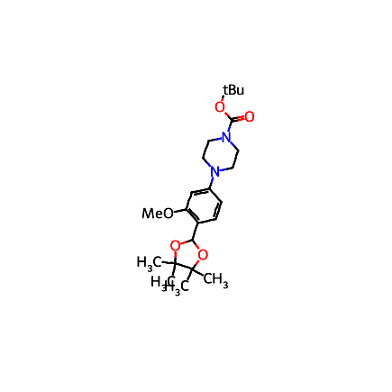 COc1cc(N2CCN(C(=O)OC(C)(C)C)CC2)ccc1C1OC(C)(C)C(C)(C)O1